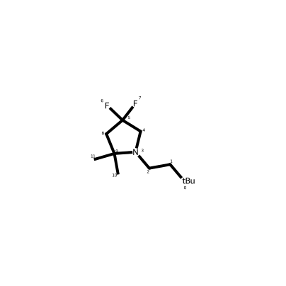 CC(C)(C)CCN1CC(F)(F)CC1(C)C